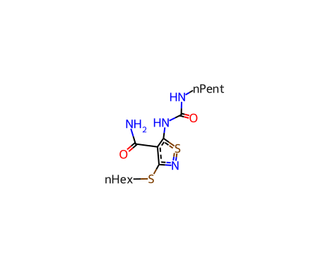 CCCCCCSc1nsc(NC(=O)NCCCCC)c1C(N)=O